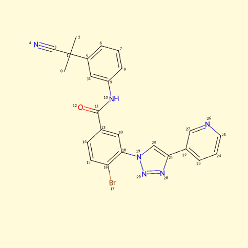 CC(C)(C#N)c1cccc(NC(=O)c2ccc(Br)c(-n3cc(-c4cccnc4)nn3)c2)c1